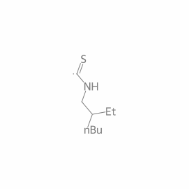 CCCCC(CC)CN[C]=S